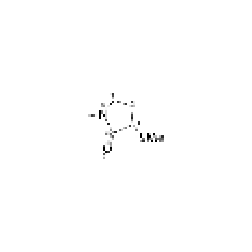 CS[C@H]1CCN(C)C1=O